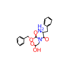 NC(Cc1ccccc1)C(=O)N(CC(=O)O)C(=O)OCc1ccccc1